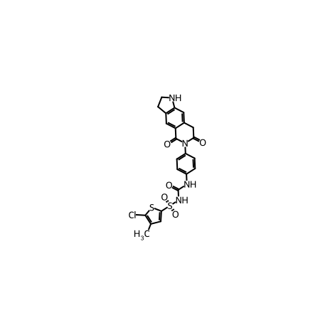 Cc1cc(S(=O)(=O)NC(=O)Nc2ccc(N3C(=O)Cc4cc5c(cc4C3=O)CCN5)cc2)sc1Cl